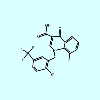 O=C(O)c1cn(Cc2cc(C(F)(F)F)ccc2Cl)c2c(F)cccc2c1=O